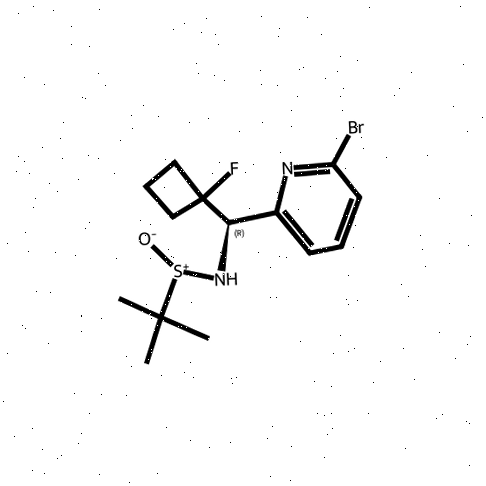 CC(C)(C)[S+]([O-])N[C@H](c1cccc(Br)n1)C1(F)CCC1